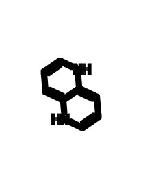 C1=CNC2=CC=CNC2=C1